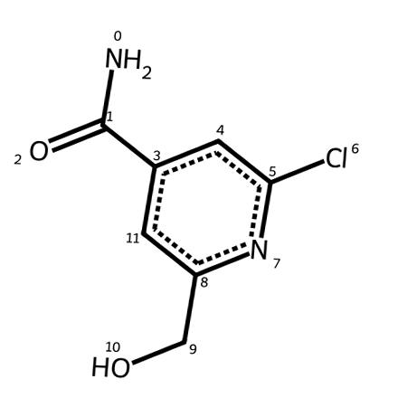 NC(=O)c1cc(Cl)nc(CO)c1